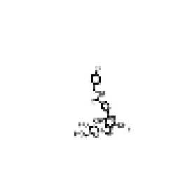 Nc1nc(-n2cc(C(=O)NCc3ccc(Cl)cc3)cn2)nc2c1ncn2C1O[C@H](CO)[C@@H](O)[C@H]1O